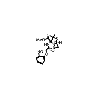 COC(=O)[C@]1(NC(=O)COc2ccccc2N=O)N2C(=O)C[C@H]2SC1(C)C